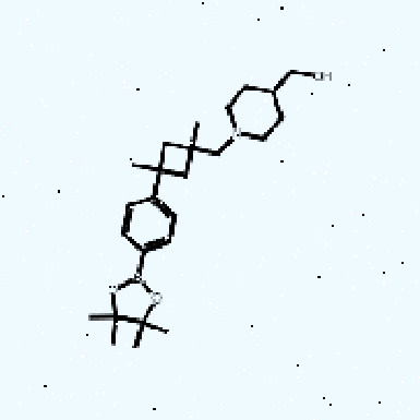 CC1(CN2CCC(CO)CC2)CC(C)(c2ccc(B3OC(C)(C)C(C)(C)O3)cc2)C1